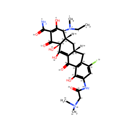 CCN(C)[C@@H]1C(O)=C(C(N)=O)C(=O)[C@@]2(O)C(O)=C3C(=O)c4c(O)c(NC(=O)CN(C)C)cc(F)c4C[C@H]3C[C@@H]12